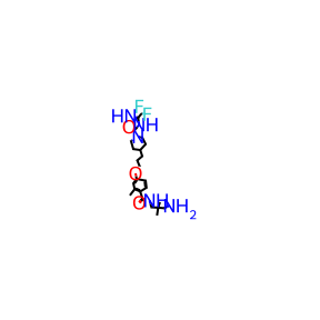 Cc1cc(OCCCC2CCN(C(=O)NC(=N)C(F)F)CC2)ccc1C(=O)NCC(C)(C)CN